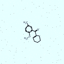 COc1ccc(C)cc1C(=O)C1=CCCCC1